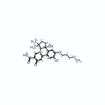 COCCCOc1cc2c(nc1Cl)-c1cc(=O)c(C(=O)O)cn1C1C(C)(C)CCC21O